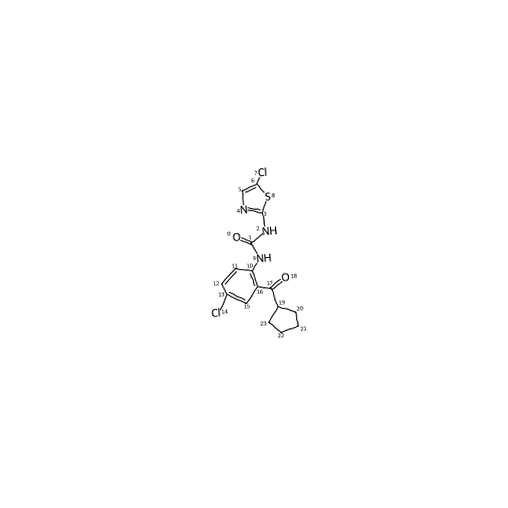 O=C(Nc1ncc(Cl)s1)Nc1ccc(Cl)cc1C(=O)C1CCCC1